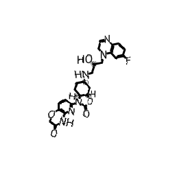 O=C1COc2ccc(N3C(=O)O[C@H]4C[C@@H](NC[C@@H](O)CN5CC=Nc6ccc(F)cc65)CC[C@@H]43)nc2N1